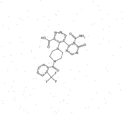 NC(=O)n1c(-c2cnnc(C(=O)O)c2N2CCN(C(=O)c3ccccc3C(F)(F)F)CC2)ncnc1=O